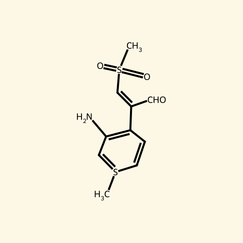 CS1=CC(N)=C(C(C=O)=CS(C)(=O)=O)C=C1